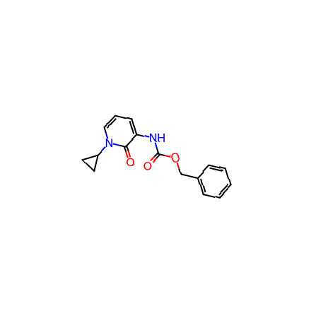 O=C(Nc1cccn(C2CC2)c1=O)OCc1ccccc1